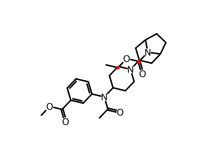 CCOC(=O)N1C2CCC1CC(N1CCC(N(C(C)=O)c3cccc(C(=O)OC)c3)CC1)C2